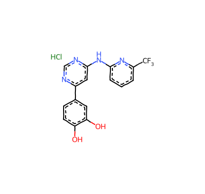 Cl.Oc1ccc(-c2cc(Nc3cccc(C(F)(F)F)n3)ncn2)cc1O